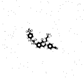 CS(=O)(=O)c1ccc(NC(=O)Nc2ccc3c(c2)C(=O)N(CCCN)[C@H](c2ccc(C#N)cc2)C3)cc1